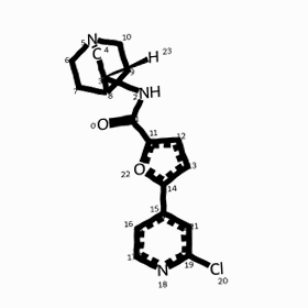 O=C(N[C@H]1CN2CCC1CC2)c1ccc(-c2ccnc(Cl)c2)o1